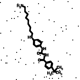 CC(C)(C)c1ccc(C(=O)NC(=O)Nc2ccc(NCCCCCCCCCN)cc2)cc1